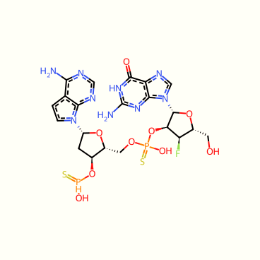 Nc1nc2c(ncn2[C@@H]2O[C@H](CO)[C@@H](F)[C@H]2OP(O)(=S)OC[C@H]2O[C@@H](n3ccc4c(N)ncnc43)C[C@@H]2O[PH](O)=S)c(=O)[nH]1